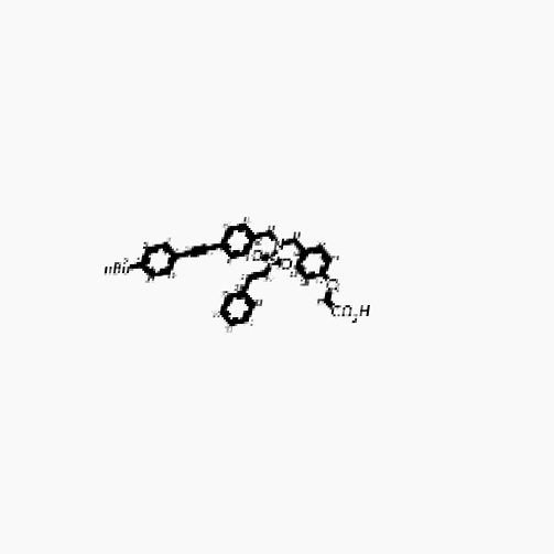 CCCCc1ccc(C#Cc2ccc(CN(Cc3ccc(OCC(=O)O)cc3)S(=O)(=O)C=Cc3ccccc3)cc2)cc1